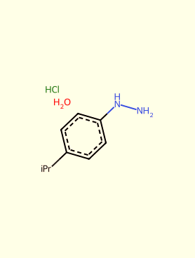 CC(C)c1ccc(NN)cc1.Cl.O